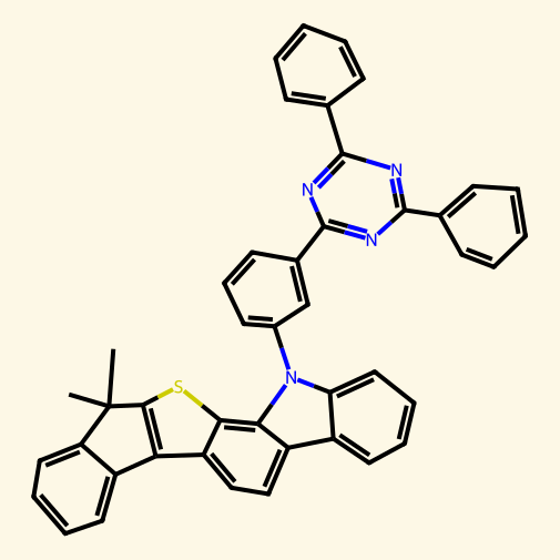 CC1(C)c2ccccc2-c2c1sc1c2ccc2c3ccccc3n(-c3cccc(-c4nc(-c5ccccc5)nc(-c5ccccc5)n4)c3)c21